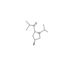 CC(C)C(=O)C1C[C@H](C)CN1C(C)C